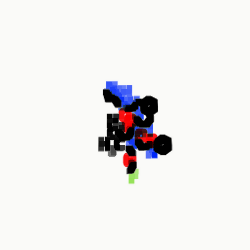 CC[C@H](C)[C@@H](C(=O)NC1CCc2cccc3c2N(C1=O)C(C(=O)NCc1ccn[nH]1)C3)N(CCOCCF)C(=O)Cc1nc2ccccc2o1